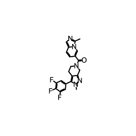 Cc1ncc2ccc(C(=O)N3CCc4c(nn(C)c4-c4cc(F)c(F)c(F)c4)C3)cn12